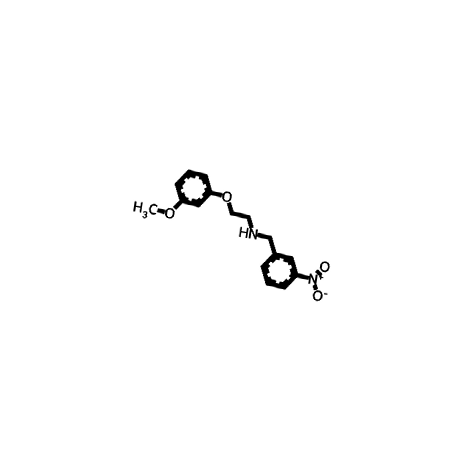 COc1cccc(OCCNCc2cccc([N+](=O)[O-])c2)c1